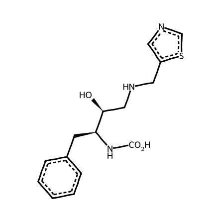 O=C(O)N[C@@H](Cc1ccccc1)[C@@H](O)CNCc1cncs1